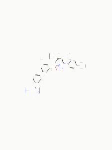 CCc1ccc(-c2cccc(Oc3cc(F)cc(-c4cccc(CN)c4)c3)n2)c(C(=O)O)c1